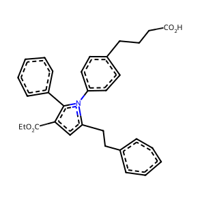 CCOC(=O)c1cc(CCc2ccccc2)n(-c2ccc(CCCC(=O)O)cc2)c1-c1ccccc1